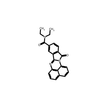 CCN(CC)C(=O)c1ccc2c(c1)C1=Nc3cccc4cccc(c34)N1C2=O